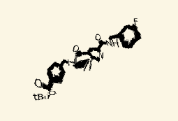 CC(C)(C)OC(=O)c1ccc(Cn2cnc3cnc(C(=O)NCc4cccc(F)c4)cc3c2=O)cc1